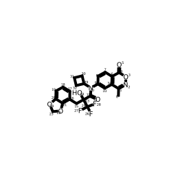 Cc1noc(=O)c2ccc(N(C(=O)C(O)(Cc3cccc4c3OCO4)C(F)(F)F)C3CCC3)cc12